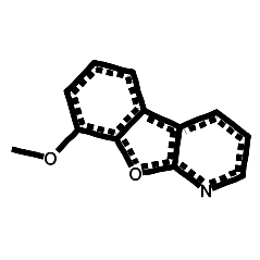 COc1cccc2c1oc1ncccc12